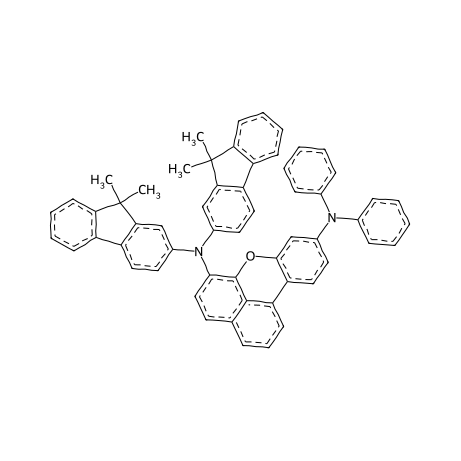 CC1(C)c2ccccc2-c2ccc(N(c3ccc4c(c3)C(C)(C)c3ccccc3-4)c3ccc4cccc5c4c3Oc3cc(N(c4ccccc4)c4ccccc4)ccc3-5)cc21